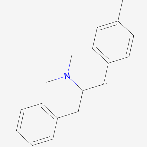 Cc1ccc([CH]C(Cc2ccccc2)N(C)C)cc1